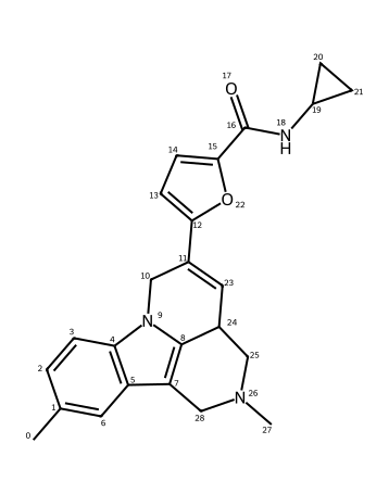 Cc1ccc2c(c1)c1c3n2CC(c2ccc(C(=O)NC4CC4)o2)=CC3CN(C)C1